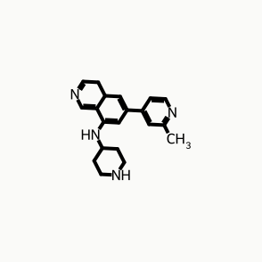 Cc1cc(C2=CC3CC=NC=C3C(NC3CCNCC3)=C2)ccn1